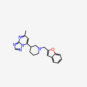 Cc1cc(C2CCCN(Cc3cc4ccccc4o3)C2)n2ncnc2n1